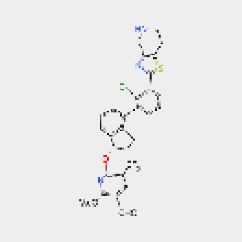 COc1nc(O[C@H]2CCc3c(-c4cccc(-c5nc6c(s5)CCNC6)c4Cl)cccc32)c(C(F)(F)F)cc1C=O